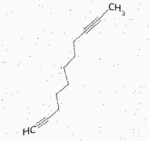 C#CCCC[CH]CCC#CC